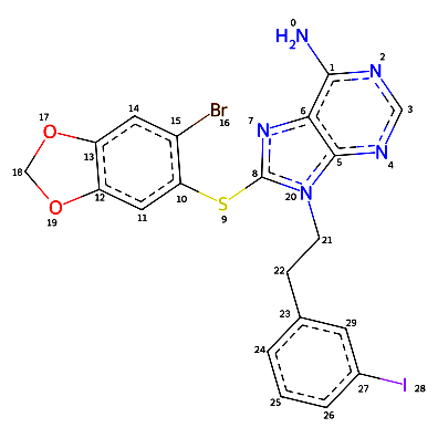 Nc1ncnc2c1nc(Sc1cc3c(cc1Br)OCO3)n2CCc1cccc(I)c1